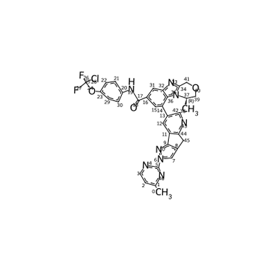 Cc1ccnc(-n2cc3c(n2)-c2cc(-c4cc(C(=O)Nc5ccc(OC(F)(F)Cl)cc5)cc5nc6n(c45)[C@H](C)COC6)cnc2C3)n1